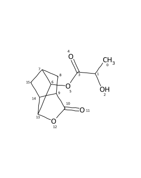 CC(O)C(=O)OC1C2CC3C(=O)OC1C3C2